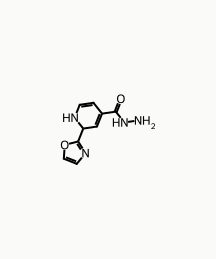 NNC(=O)C1=CC(c2ncco2)NC=C1